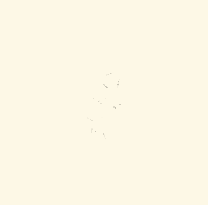 O=C1CC2(C[C@H]3CC[C@@H](C2)N3c2ccc(I)cc2)C(=O)N1